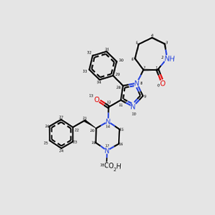 O=C1NCCCCC1n1cnc(C(=O)N2CCN(C(=O)O)C[C@H]2Cc2ccccc2)c1-c1ccccc1